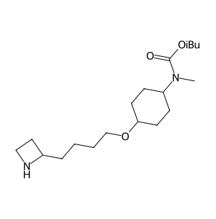 CC(C)COC(=O)N(C)C1CCC(OCCCCC2CCN2)CC1